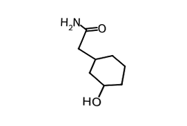 NC(=O)CC1CCCC(O)C1